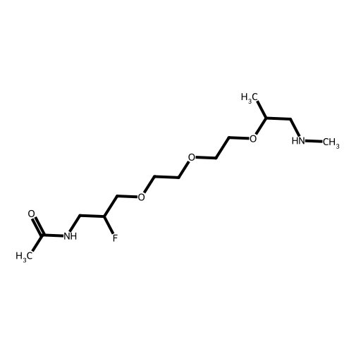 CNCC(C)OCCOCCOCC(F)CNC(C)=O